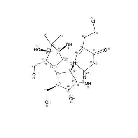 CC1(C)[C@]2(O)[C@H]([N+]3([C@@H]4O[C@H](CO)[C@@H](O)[C@H]4O)C=C(CCCl)C(=O)NC3=O)O[C@H](CO)[C@]12O